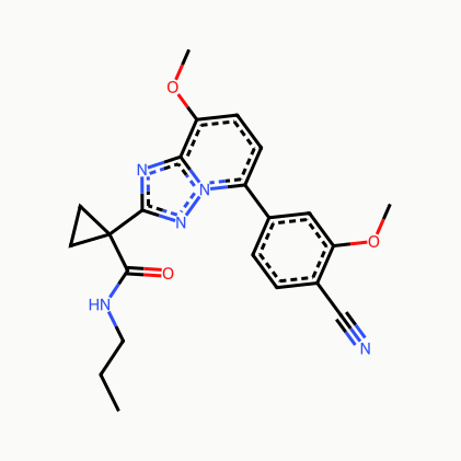 CCCNC(=O)C1(c2nc3c(OC)ccc(-c4ccc(C#N)c(OC)c4)n3n2)CC1